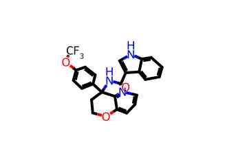 O=C(NC1(c2ccc(OC(F)(F)F)cc2)CCOc2cccnc21)c1c[nH]c2ccccc12